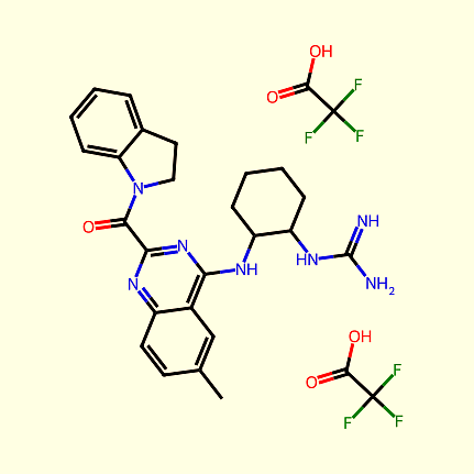 Cc1ccc2nc(C(=O)N3CCc4ccccc43)nc(NC3CCCCC3NC(=N)N)c2c1.O=C(O)C(F)(F)F.O=C(O)C(F)(F)F